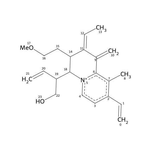 C=Cc1cc[n+]2c(c1C)C(=C)/C(=C\C)C(CCOC)C2C(C=C)CO